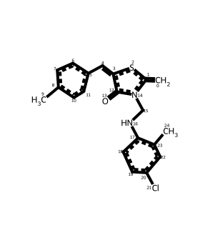 C=c1sc(=Cc2ccc(C)cc2)c(=O)n1CNc1ccc(Cl)cc1C